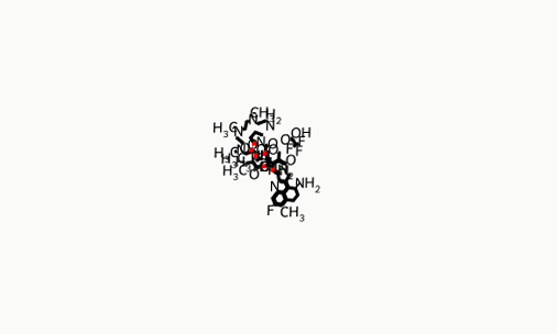 CC[C@@]1(OC(=O)[C@@H](NC(=O)[C@@H]2CCCN2C(=O)[C@H](CC(N)=O)NC(=O)CN(C)CCN(C)CCN(C)CCN)C(C)C)C(=O)OCc2c1cc1n(c2=O)Cc2c-1nc1cc(F)c(C)c3c1c2[C@@H](N)CC3.O=C(O)C(F)(F)F